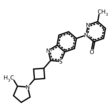 Cc1ccc(=O)n(-c2ccc3nc(C4CC(N5CCCC5C)C4)sc3c2)n1